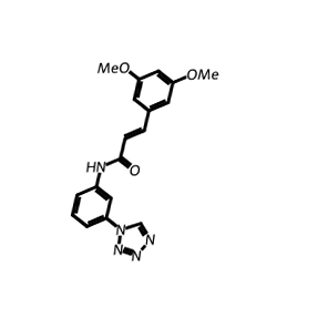 COc1cc(/C=C/C(=O)Nc2cccc(-n3cnnn3)c2)cc(OC)c1